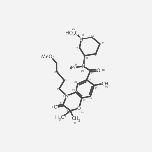 COCCCCN1C(=O)C(C)(C)Oc2cc(C)c(C(=O)N(C(C)C)[C@@H]3CCCN(C(=O)O)C3)cc21